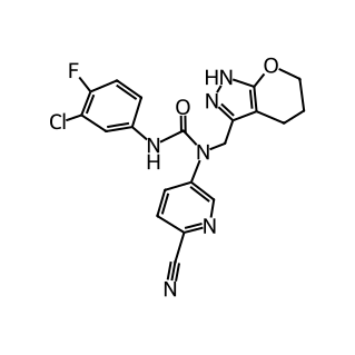 N#Cc1ccc(N(Cc2n[nH]c3c2CCCO3)C(=O)Nc2ccc(F)c(Cl)c2)cn1